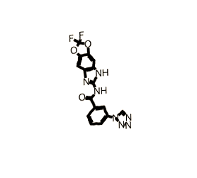 O=C(Nc1nc2cc3c(cc2[nH]1)OC(F)(F)O3)c1cccc(-n2cnnn2)c1